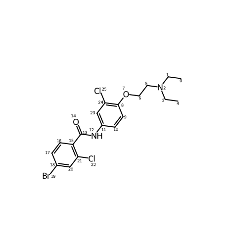 CCN(CC)CCOc1ccc(NC(=O)c2ccc(Br)cc2Cl)cc1Cl